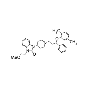 COCCn1c(=O)n(C2CCN(CCC(Oc3cc(C)ccc3C)c3ccccc3)CC2)c2ccccc21